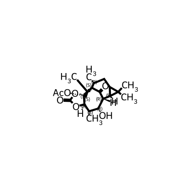 CC(=O)O[C@H]1C(C)=C[C@]23C(=O)[C@@H]([C@H](O)[C@H](C)[C@H]4OC(=O)O[C@@]412)[C@H]1C(C[C@H]3C)C1(C)C